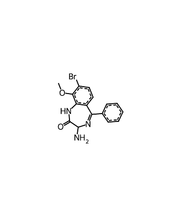 COc1c(Br)ccc2c1NC(=O)C(N)N=C2c1ccccc1